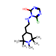 CN1C(C)(C)CC(CCNN2C(Cl)=NC=NC2O)CC1(C)C